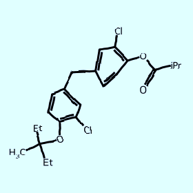 CCC(C)(CC)Oc1ccc(Cc2ccc(OC(=O)C(C)C)c(Cl)c2)cc1Cl